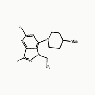 COC1CCN(c2cc(Cl)nc3c(I)nn(CC(F)(F)F)c23)CC1